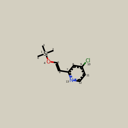 C[Si](C)(C)OC=Cc1cc(Cl)ccn1